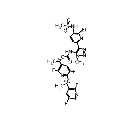 CCc1nc(-c2nnn(C)c2NC(=O)O[C@H](C)c2cc(F)c(O[C@H](C)c3cc(F)cnc3F)nc2F)ccc1NS(C)(=O)=O